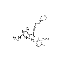 COc1c(C)cnc(Cn2cc(C#CCCN3CCOCC3)c3c(Cl)nc(N)nc32)c1C